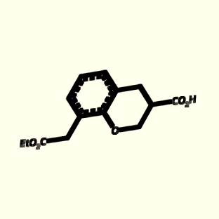 CCOC(=O)Cc1cccc2c1OCC(C(=O)O)C2